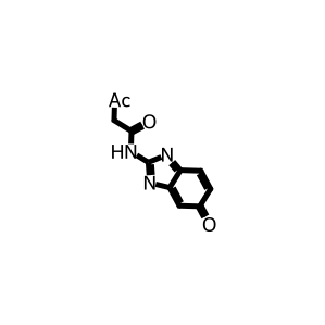 CC(=O)CC(=O)NC1=NC2=CC(=O)C=CC2=N1